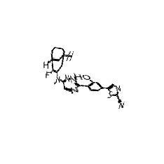 CN(c1cnc(-c2ccc(-c3cnc(C#N)s3)cc2O)nn1)[C@@H]1C[C@H]2CCC[C@H](C2)[C@@H]1F